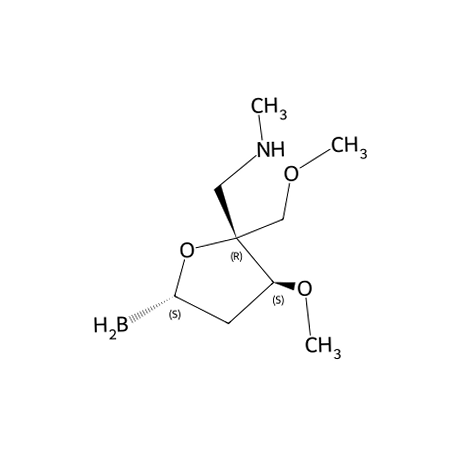 B[C@H]1C[C@H](OC)[C@@](CNC)(COC)O1